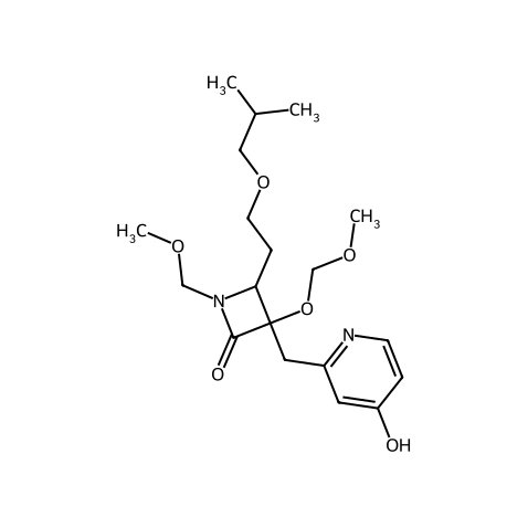 COCOC1(Cc2cc(O)ccn2)C(=O)N(COC)C1CCOCC(C)C